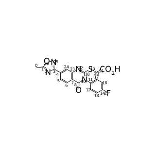 Cc1nc(-c2ccc3c(=O)n(-c4ccc(F)cc4)c(SCC(=O)O)nc3c2)no1